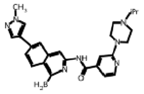 Bc1nc(NC(=O)c2ccnc(N3CCN(C(C)C)CC3)c2)cc2cc(-c3cnn(C)c3)ccc12